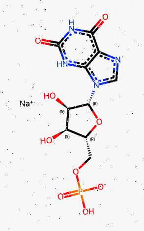 O=c1[nH]c(=O)c2ncn([C@@H]3O[C@H](COP(=O)([O-])O)[C@@H](O)[C@H]3O)c2[nH]1.[Na+]